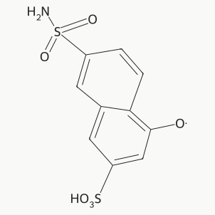 NS(=O)(=O)c1ccc2c([O])cc(S(=O)(=O)O)cc2c1